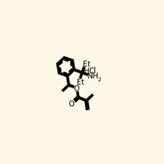 C=C(C)C(=O)OC(C)c1ccccc1C(N)(CC)CC.Cl